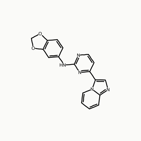 c1ccn2c(-c3ccnc(Nc4ccc5c(c4)OCO5)n3)cnc2c1